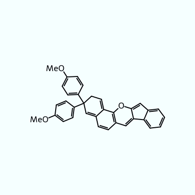 COc1ccc(C2(c3ccc(OC)cc3)C=c3ccc4cc5c6ccccc6cc-5oc4c3=CC2)cc1